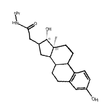 CCCNC(=O)CC1CC2C3CCc4cc(O)ccc4C3CC[C@]2(C)[C@H]1O